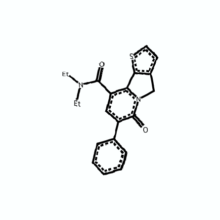 CCN(CC)C(=O)c1cc(-c2ccccc2)c(=O)n2c1-c1sccc1C2